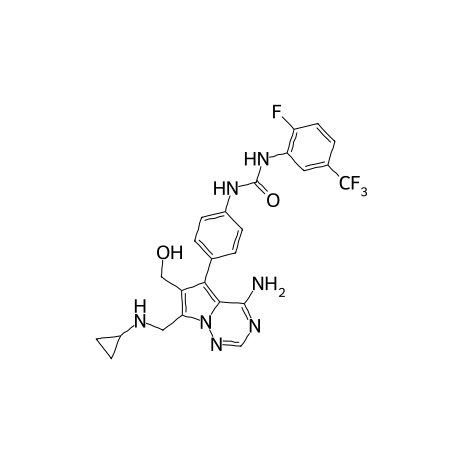 Nc1ncnn2c(CNC3CC3)c(CO)c(-c3ccc(NC(=O)Nc4cc(C(F)(F)F)ccc4F)cc3)c12